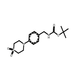 CC(C)(C)OC(=O)NCc1ccc(N2CCS(=O)(=O)CC2)cc1